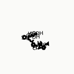 CC(CCCN(C(=O)CC(O)C(O)C(O)CO)C1CCSCC1)c1ccc(Cl)c(COC2(c3cnccc3-c3ccccc3OC3CC3)CC2)c1